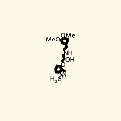 COc1ccc(CCNCC(O)COc2cccc3c2cnn3C)cc1OC